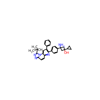 CC(C)(C)c1nnc2ccc3nc(-c4ccc(C5(N)CC(O)(C6CC6)C5)cc4)c(-c4ccccc4)cc3n12